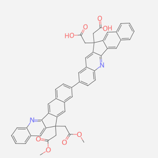 COC(=O)CC1(CC(=O)OC)c2cc3cc(-c4ccc5nc6c(cc5c4)C(CC(=O)O)(CC(=O)O)c4cc5ccccc5cc4-6)ccc3cc2-c2nc3ccccc3cc21